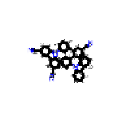 N#Cc1ccc(-c2ccccc2-n2c3ccccc3c3ccccc32)c(-c2cccc(-n3c4ccc(C#N)cc4c4cc(C#N)ccc43)c2)c1